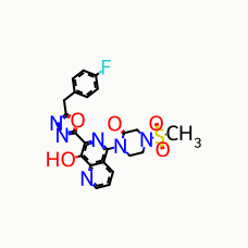 CS(=O)(=O)N1CCN(c2nc(-c3nnc(Cc4ccc(F)cc4)o3)c(O)c3ncccc23)C(=O)C1